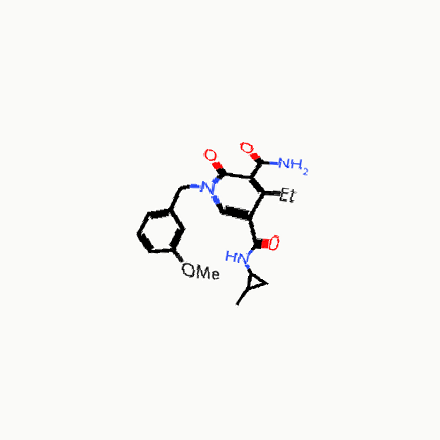 CCc1c(C(=O)NC2CC2C)cn(Cc2cccc(OC)c2)c(=O)c1C(N)=O